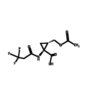 CC(=O)OC[C@H]1C[C@@]1(NC(=O)CC(F)(F)F)C(=O)O